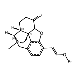 CCOC=Cc1ccc2c3c1OC1C(=O)CC[C@H]4[C@@H](C2)N(C)CC[C@]314